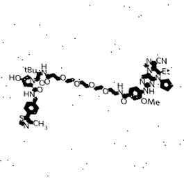 CC[C@@H]1c2c(C#N)ncn2-c2cnc(Nc3ccc(C(=O)NCCOCCOCCOCCOCCC(=O)N[C@H](C(=O)N4C[C@H](O)C[C@H]4C(=O)NCc4ccc(-c5scnc5C)cc4)C(C)(C)C)cc3OC)nc2N1C1CCCC1